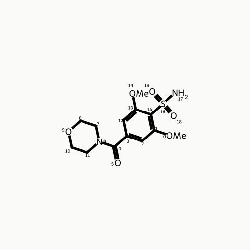 COc1cc(C(=O)N2CCOCC2)cc(OC)c1S(N)(=O)=O